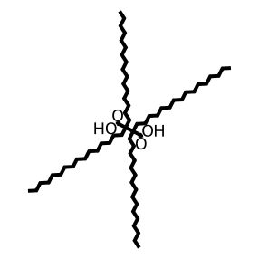 CCCCCCCCCCCCCCCCC(CCCCCCCCCCCCCCCC)(C(=O)O)C(CCCCCCCCCCCCCCCC)(CCCCCCCCCCCCCCCC)C(=O)O